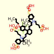 CCCCOc1c(F)c(F)c(C2=C(/C=C/C3=[N+](CCCCS(=O)(=O)O)c4ccc(S(=O)(=O)O)cc4C3(C)C)CCC/C2=C\C=C2\N(CCCCS(=O)(=O)O)c3ccc(SOOO)cc3C2(C)C)c(F)c1F